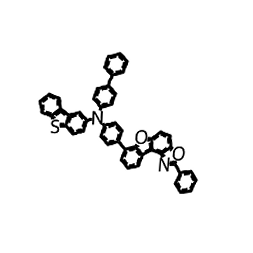 c1ccc(-c2ccc(N(c3ccc(-c4cccc5c4oc4ccc6oc(-c7ccccc7)nc6c45)cc3)c3ccc4sc5ccccc5c4c3)cc2)cc1